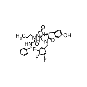 CCCN(C(=O)NCc1ccccc1)N1CC(=O)N2[C@@H](Cc3ccc(O)cc3)C(=O)N(Cc3cc(F)c(F)c(F)c3)C[C@@H]21